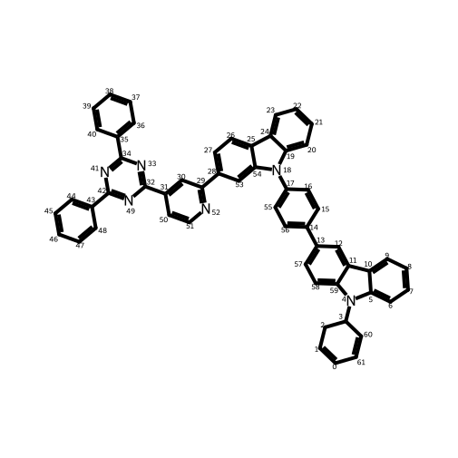 C1=CCC(n2c3ccccc3c3cc(-c4ccc(-n5c6ccccc6c6ccc(-c7cc(-c8nc(-c9ccccc9)nc(-c9ccccc9)n8)ccn7)cc65)cc4)ccc32)C=C1